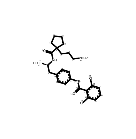 CC(=O)NCCCC1(C(=O)N[C@@H](Cc2ccc(NC(=O)c3c(Cl)cccc3Cl)cc2)C(=O)O)CCCC1